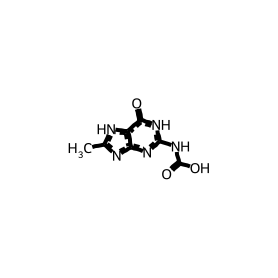 Cc1nc2nc(NC(=O)O)[nH]c(=O)c2[nH]1